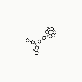 CC1(C)c2ccccc2-c2ccc(N(c3ccc(-c4ccccc4)cc3)c3ccc(-c4ccc(-n5c6ccc7sc8ccccc8c7c6c6c7c(ccc65)sc5ccccc57)cc4)cc3)cc21